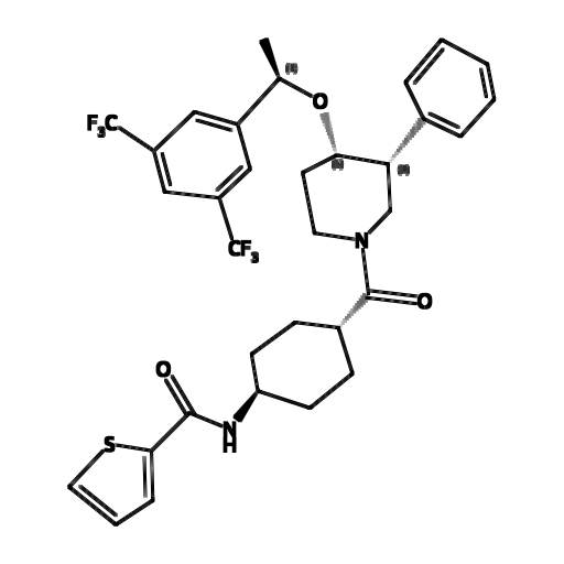 C[C@@H](O[C@H]1CCN(C(=O)[C@H]2CC[C@H](NC(=O)c3cccs3)CC2)C[C@H]1c1ccccc1)c1cc(C(F)(F)F)cc(C(F)(F)F)c1